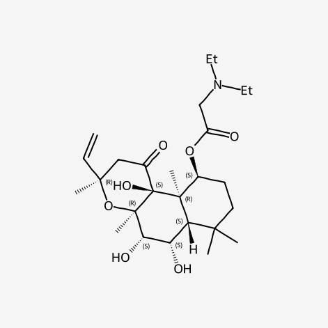 C=C[C@@]1(C)CC(=O)[C@]2(O)[C@@]3(C)[C@@H](OC(=O)CN(CC)CC)CCC(C)(C)[C@@H]3[C@H](O)[C@H](O)[C@@]2(C)O1